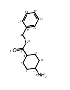 NC1CCC(C(=O)OCc2ccccc2)CC1